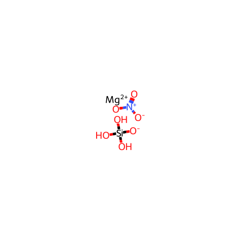 O=[N+]([O-])[O-].[Mg+2].[O-][Si](O)(O)O